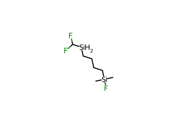 C[Si](C)(F)CCCC[SiH2]C(F)F